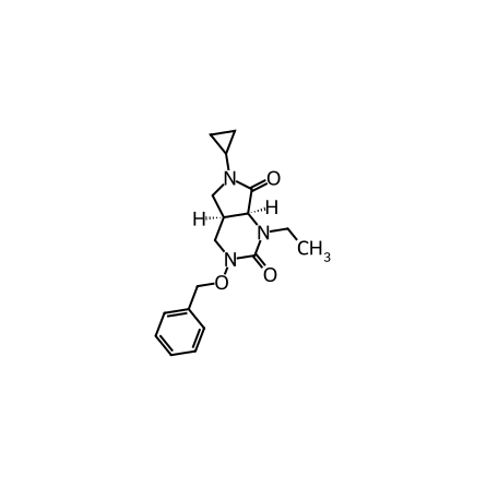 CCN1C(=O)N(OCc2ccccc2)C[C@H]2CN(C3CC3)C(=O)[C@H]21